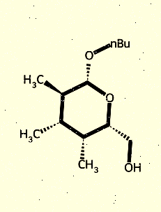 CCCCO[C@@H]1O[C@H](CO)[C@H](C)[C@H](C)[C@H]1C